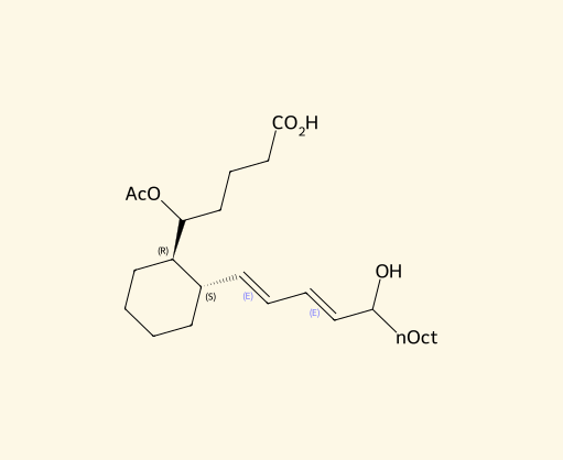 CCCCCCCCC(O)/C=C/C=C/[C@@H]1CCCC[C@H]1C(CCCC(=O)O)OC(C)=O